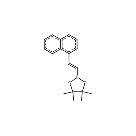 CC1(C)OB(C=Cc2cccc3ccccc23)OC1(C)C